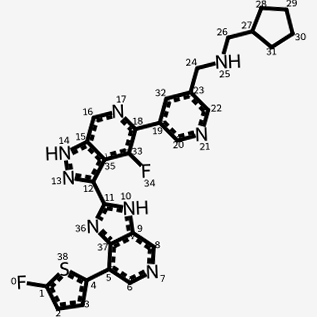 Fc1ccc(-c2cncc3[nH]c(-c4n[nH]c5cnc(-c6cncc(CNCC7CCCC7)c6)c(F)c45)nc23)s1